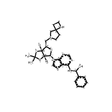 CC1(C)O[C@@H]2[C@H](O1)[C@@H](CN1CCC3(CCN3)C1)O[C@H]2n1cnc2c(NC(O)c3ccccc3)ncnc21